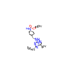 CSc1nc(NCc2ccc(NC(=O)OC(C)(C)C)cc2)n2ncc(C(C)C)c2n1